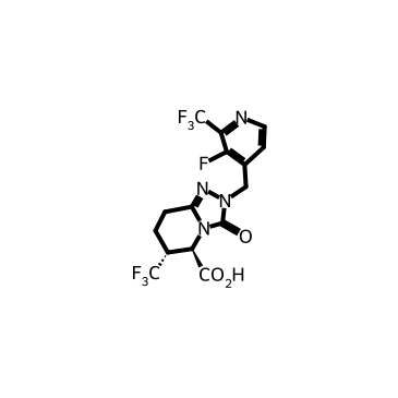 O=C(O)[C@H]1[C@H](C(F)(F)F)CCc2nn(Cc3ccnc(C(F)(F)F)c3F)c(=O)n21